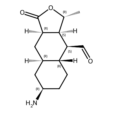 C[C@H]1OC(=O)[C@@H]2C[C@@H]3C[C@H](N)CC[C@H]3[C@H](C=O)[C@H]12